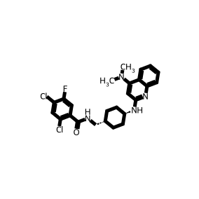 CN(C)c1cc(N[C@H]2CC[C@@H](CNC(=O)c3cc(F)c(Cl)cc3Cl)CC2)nc2ccccc12